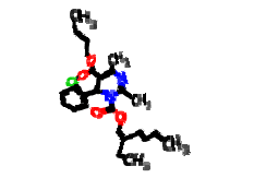 CCCCOC(=O)C1=C(C)N=C(C)N(C(=O)OCC(CC)CCCC)C1c1ccccc1Cl